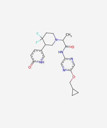 CC(C(=O)Nc1cnc(OCC2CC2)cn1)N1CCC(F)(F)C(c2ccc(=O)[nH]c2)C1